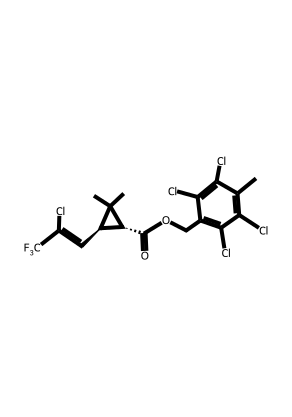 Cc1c(Cl)c(Cl)c(COC(=O)[C@@H]2[C@@H](/C=C(\Cl)C(F)(F)F)C2(C)C)c(Cl)c1Cl